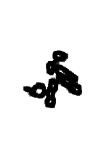 Cc1ccc(C2c3ccccc3-c3cc(-n4c5ccccc5c5ccc6c(c7ccccc7n6-c6ccccc6)c54)ccc32)cc1